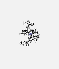 Cc1cc(C(=N)/N=C(\N)c2nc(C(N)=O)cc3c2cnn3C)n(CCC(=O)O)n1